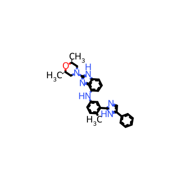 Cc1ccc(Nc2cccc3[nH]c(N4C[C@@H](C)O[C@@H](C)C4)nc23)cc1-c1ncc(-c2ccccc2)[nH]1